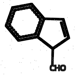 O=CC1C=Cc2ccccc21